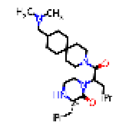 CC(C)CC(C(=O)N1CCC2(CCC(CN(C)C)CC2)CC1)N1CCN[C@@H](CC(C)C)C1=O